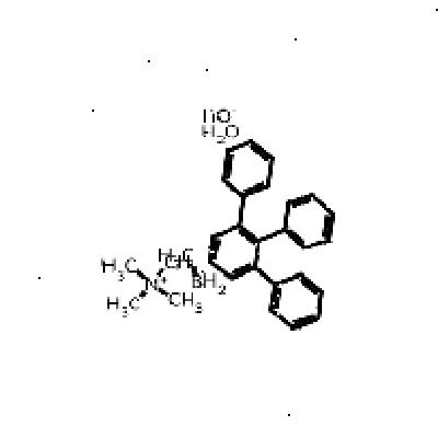 BC.C[N+](C)(C)C.O.[OH-].c1ccc(-c2cccc(-c3ccccc3)c2-c2ccccc2)cc1